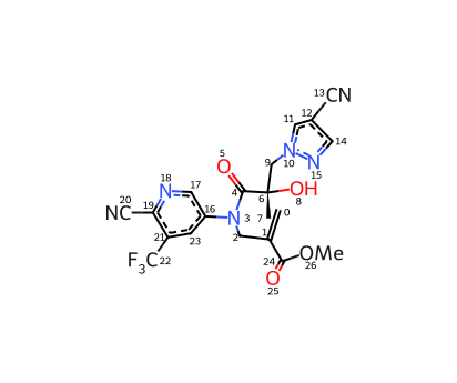 C=C(CN(C(=O)[C@@](C)(O)Cn1cc(C#N)cn1)c1cnc(C#N)c(C(F)(F)F)c1)C(=O)OC